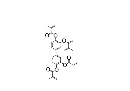 C=C(C)C(=C)Oc1cc(-c2ccc(OC(=O)C(=C)C)c(OC(=O)C(=C)C)c2)ccc1OC(=O)C(=C)C